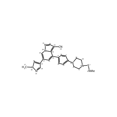 CNSN1CCN(c2ccc(-c3cc(-c4cnn(C)c4)cn4ncc(C#N)c34)cc2)CC1